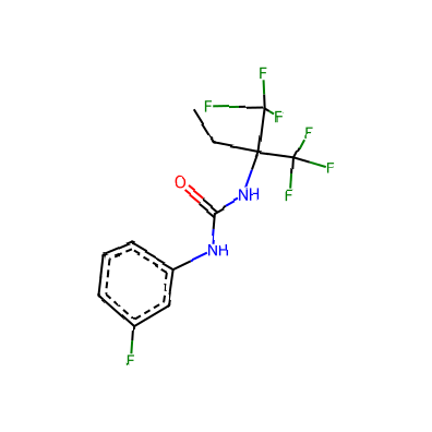 CCC(NC(=O)Nc1cccc(F)c1)(C(F)(F)F)C(F)(F)F